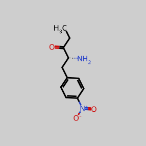 CCC(=O)[C@H](N)Cc1ccc([N+](=O)[O-])cc1